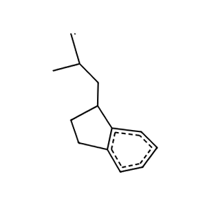 [CH2]C(C)CC1CCc2ccccc21